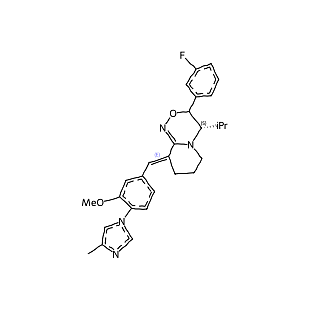 COc1cc(/C=C2\CCCN3C2=NOC(c2cccc(F)c2)[C@@H]3C(C)C)ccc1-n1cnc(C)c1